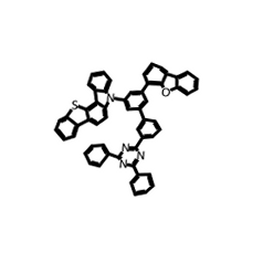 c1ccc(-c2nc(-c3ccccc3)nc(-c3cccc(-c4cc(-c5cccc6c5oc5ccccc56)cc(-n5c6ccccc6c6c7sc8ccccc8c7ccc65)c4)c3)n2)cc1